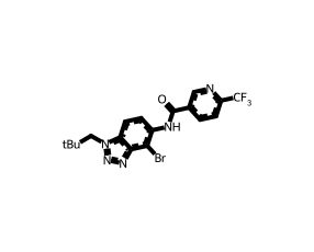 CC(C)(C)Cn1nnc2c(Br)c(NC(=O)c3ccc(C(F)(F)F)nc3)ccc21